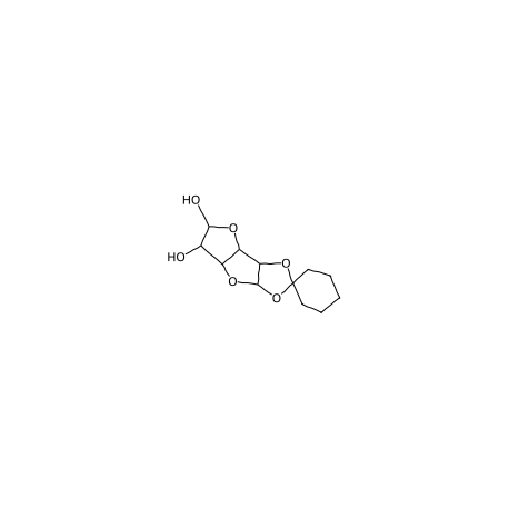 OC1OC2C3OC4(CCCCC4)OC3OC2C1O